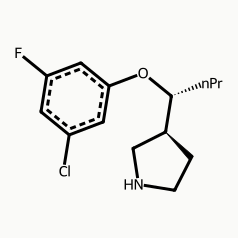 CCC[C@@H](Oc1cc(F)cc(Cl)c1)[C@H]1CCNC1